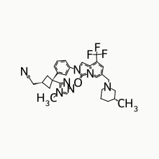 C[C@H]1CCCN(Cc2cc(C(F)(F)F)c3cn(-c4cccc([C@]5(c6nncn6C)C[C@H](CC#N)C5)c4)c(=O)n3c2)C1